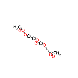 C=CC(=O)OCCOc1ccc(-c2ccc(OC(=O)c3ccc(OCCCCCC4CC(=C)C(=O)O4)cc3)cc2)cc1